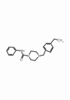 CCc1ccc(CN2CCN(C(=O)Nc3ccccc3)CC2)cc1